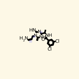 C=C(/N=C\C=C/N)N/C(=N\C=N)C(C)NC(=O)c1cc(Cl)cc(Cl)c1